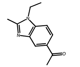 CCn1c(C)nc2cc(C(C)=O)ccc21